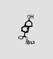 CCCCOC(=O)c1ccc2c(c1)CCC(O)C2